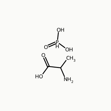 CC(N)C(=O)O.O=[PH](O)O